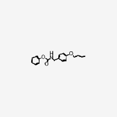 CCCCOc1ccc(CNC(=O)Oc2ccccc2)cc1